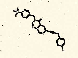 CS(=O)(=O)c1ccc(Cn2cnc3cnc(C#CCc4ccc(Br)cc4)cc3c2=O)cc1